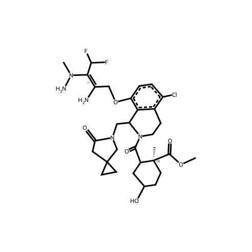 COC(=O)[C@@]1(C)CCC(O)CC1C(=O)N1CCc2c(Cl)ccc(OC/C(N)=C(\C(F)F)N(C)N)c2C1CN1CC2(CC2)CC1=O